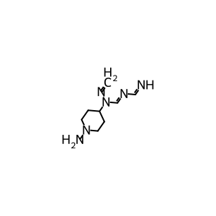 C=NN(/C=N/C=N)C1CCN(N)CC1